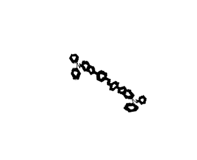 C1=C(c2ccc(/C=C/c3ccc(C4=Cc5ccc(N(c6ccccc6)c6ccccc6)cc5C4)cc3)cc2)Cc2cc(N(c3ccccc3)c3ccccc3)ccc21